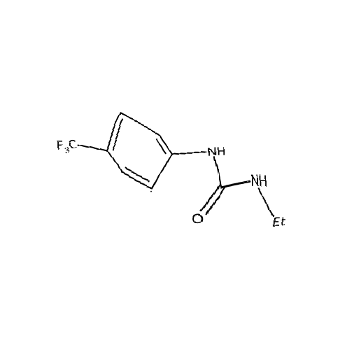 CCNC(=O)Nc1[c]cc(C(F)(F)F)cc1